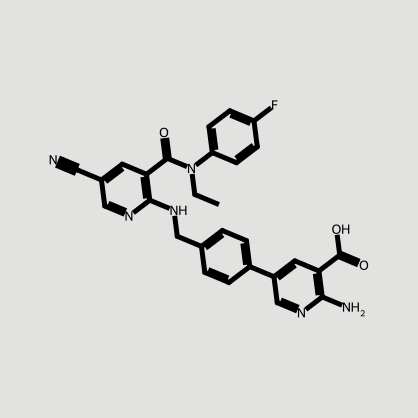 CCN(C(=O)c1cc(C#N)cnc1NCc1ccc(-c2cnc(N)c(C(=O)O)c2)cc1)c1ccc(F)cc1